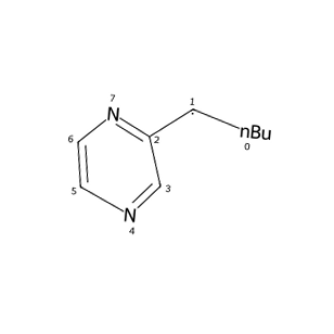 CCCC[CH]c1cnccn1